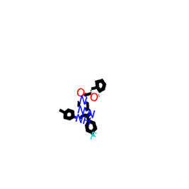 CO[C@@H](Cc1ccccc1)C(=O)N1CCn2c(nc(-c3ccc(F)cc3)c2Nc2ccc(C)cc2)C1